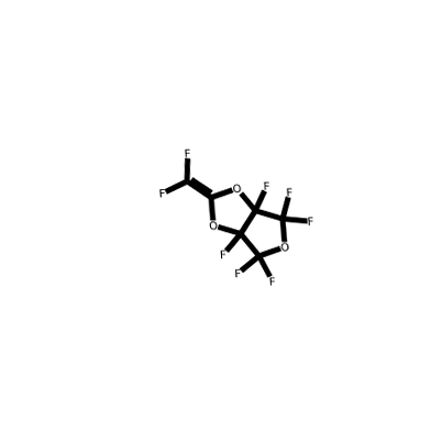 FC(F)=C1OC2(F)C(F)(F)OC(F)(F)C2(F)O1